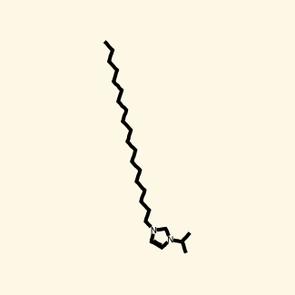 CCCCCCCCCCCCCCCCCCCN1C=CN(C(C)C)C1